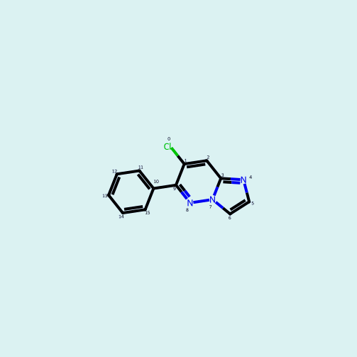 Clc1cc2nccn2nc1-c1ccccc1